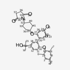 Cc1cc(F)cc(C)c1Oc1ccc(C(C)(C)O)cc1-c1cn(C)c(=O)cc1OC1CCC(N2C(=O)CCC2=O)CC1